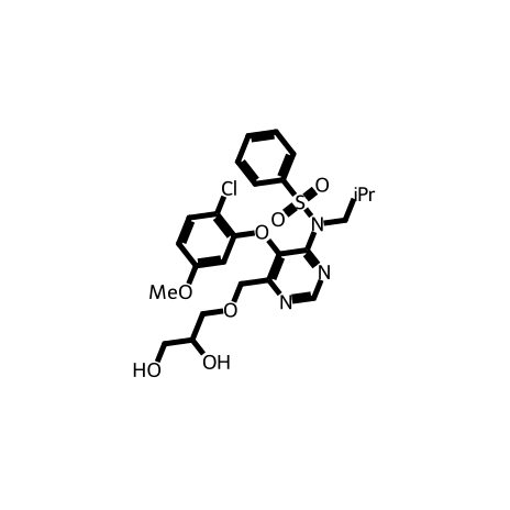 COc1ccc(Cl)c(Oc2c(COCC(O)CO)ncnc2N(CC(C)C)S(=O)(=O)c2ccccc2)c1